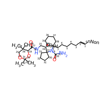 CCCCCCCCC/C=C/CCCCCC1(N(C(N)=O)C2(C(CNC(=O)C3OC(C)(C)OCC3(C)C)C(=O)O)CCCC2)CCCCC1